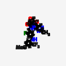 COc1ccc(Nc2ccc(CNC(=O)[C@]3(NC(=O)c4cnc(C)nc4)CCOC3)c(F)c2)c(C(F)(F)F)c1